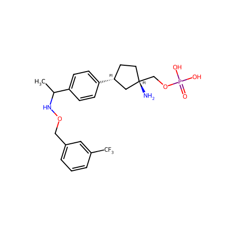 CC(NOCc1cccc(C(F)(F)F)c1)c1ccc([C@@H]2CC[C@](N)(COP(=O)(O)O)C2)cc1